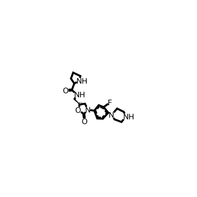 O=C(NC[C@H]1CN(c2ccc(N3CCNCC3)c(F)c2)C(=O)O1)C1CCCN1